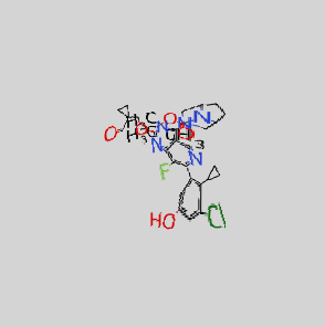 CC(C)(C)OC(=O)N1C2CCC1CN(c1nc(OCC3(C=O)CC3)nc3c(F)c(-c4cc(O)cc(Cl)c4C4CC4)ncc13)C2